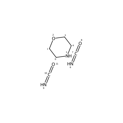 C1COCCN1.N=C=O.N=C=O